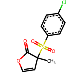 CC1(S(=O)(=O)c2ccc(Cl)cc2)C=COC1=O